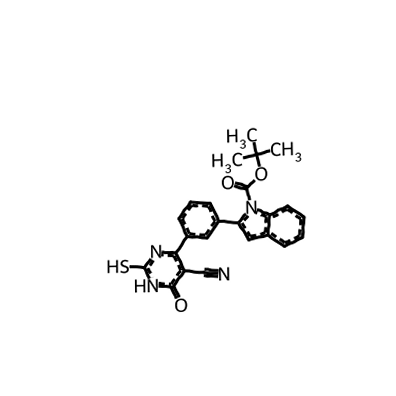 CC(C)(C)OC(=O)n1c(-c2cccc(-c3nc(S)[nH]c(=O)c3C#N)c2)cc2ccccc21